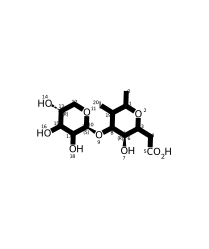 CC1OC(CC(=O)O)[C@@H](O)C(O[C@@H]2OC[C@@H](O)C(O)C2O)C1I